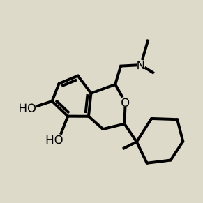 CN(C)CC1OC(C2(C)CCCCC2)Cc2c1ccc(O)c2O